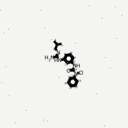 CC(C)CN=C(N)Nc1cccc(NC(=O)N(Cl)c2ccccc2)c1